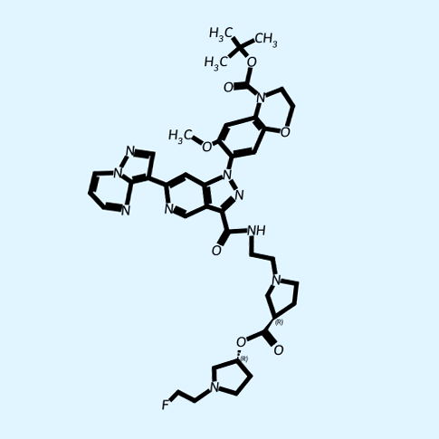 COc1cc2c(cc1-n1nc(C(=O)NCCN3CC[C@@H](C(=O)O[C@@H]4CCN(CCF)C4)C3)c3cnc(-c4cnn5cccnc45)cc31)OCCN2C(=O)OC(C)(C)C